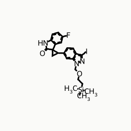 C[Si](C)(C)CCOCn1nc(I)c2ccc(C3CC34C(=O)Nc3ccc(F)cc34)cc21